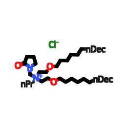 CCCCCCCCCCCCCCCCOCC[N+](CCC)(CCOCCCCCCCCCCCCCCCC)CN1CCCC1=O.[Cl-]